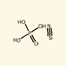 N#[Si].O=P(O)(O)O